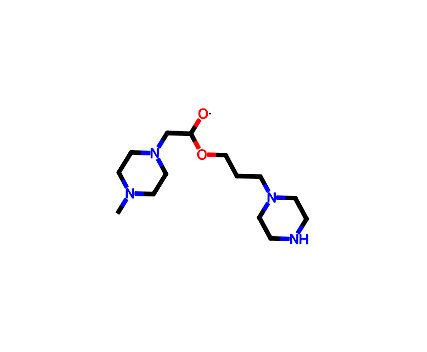 CN1CCN(CC([O])OCCCN2CCNCC2)CC1